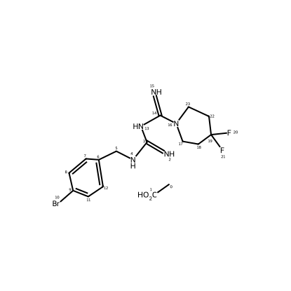 CC(=O)O.N=C(NCc1ccc(Br)cc1)NC(=N)N1CCC(F)(F)CC1